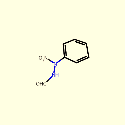 O=CNN(c1ccccc1)[N+](=O)[O-]